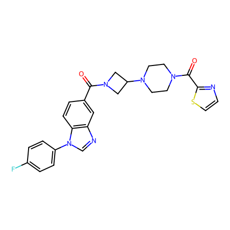 O=C(c1ccc2c(c1)ncn2-c1ccc(F)cc1)N1CC(N2CCN(C(=O)c3nccs3)CC2)C1